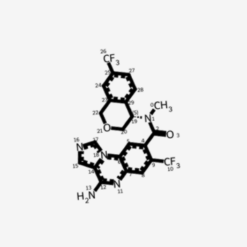 CN(C(=O)c1cc2c(cc1C(F)(F)F)nc(N)c1cncn12)[C@@H]1COCc2cc(C(F)(F)F)ccc21